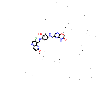 COc1ccc2ncc(Cl)c(CN[C@H]3CC[C@H](NCc4cnc5c(n4)NC(=O)CO5)C[C@H]3O)c2n1